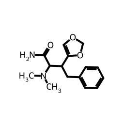 CN(C)C(C(N)=O)C(Cc1ccccc1)C1=COCO1